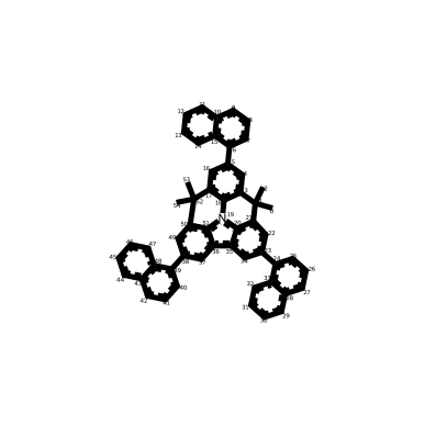 CC1(C)c2cc(-c3cccc4ccccc34)cc3c2-n2c4c1cc(-c1cccc5ccccc15)cc4c1cc(-c4cccc5ccccc45)cc(c12)C3(C)C